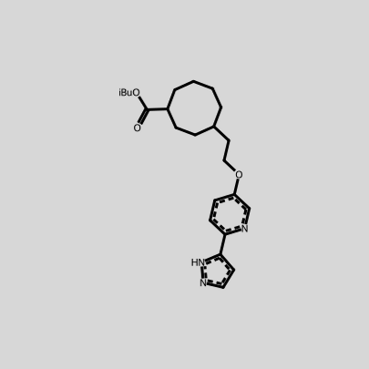 CC(C)COC(=O)C1CCCCC(CCOc2ccc(-c3ccn[nH]3)nc2)CC1